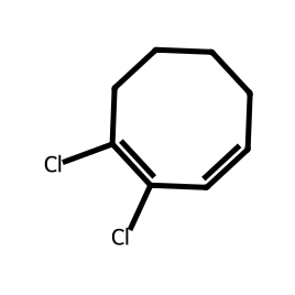 ClC1=C(\Cl)CCCC/C=C\1